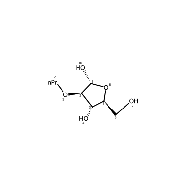 CCCO[C@@H]1[C@@H](O)[C@H](CO)O[C@H]1O